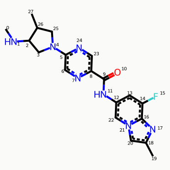 CNC1CN(c2cnc(C(=O)Nc3cc(F)c4nc(C)cn4c3)cn2)CC1C